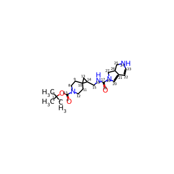 CC(C)(C)OC(=O)N1CCC2(CC1)CC2CNC(=O)N1C=C2C=CNCC2C1